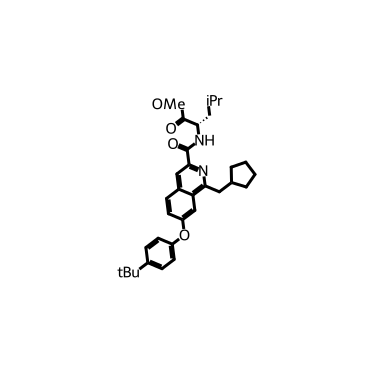 COC(=O)[C@H](CC(C)C)NC(=O)c1cc2ccc(Oc3ccc(C(C)(C)C)cc3)cc2c(CC2CCCC2)n1